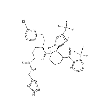 CCC[C@H]1N(C(=O)c2ncccc2C(F)(F)F)CCC[C@@]1(Oc1csc(C(F)(F)F)c1)C(=O)N1CCc2cc(Cl)ccc2C1CCC(=O)NCc1nn[nH]n1